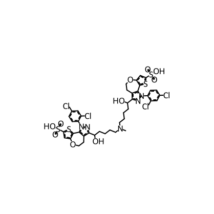 CN(CCCCC(O)c1nn(-c2ccc(Cl)cc2Cl)c2c1CCOc1cc(S(=O)(=O)O)sc1-2)CCCCC(O)c1nn(-c2ccc(Cl)cc2Cl)c2c1CCOc1cc(S(=O)(=O)O)sc1-2